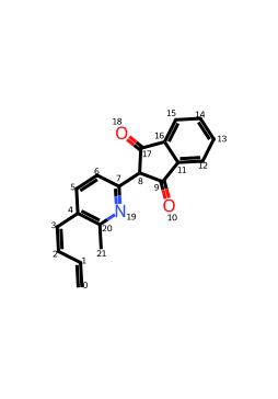 C=C/C=C\c1ccc(C2C(=O)c3ccccc3C2=O)nc1C